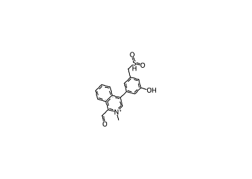 C[n+]1cc(-c2cc(O)cc(C[SH](=O)=O)c2)c2ccccc2c1C=O